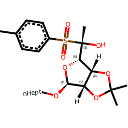 CCCCCCCO[C@H]1O[C@H]([C@@](C)(O)S(=O)(=O)c2ccc(C)cc2)[C@@H]2OC(C)(C)O[C@H]12